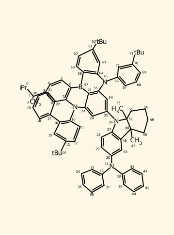 CC(C)C(C)c1ccc2c(c1)N(c1ccc(C(C)(C)C)cc1-c1ccccc1)c1cc(N3c4ccc(N(c5ccccc5)c5ccccc5)cc4C4(C)CCCCC34C)cc3c1B2c1ccc(C(C)(C)C)cc1N3c1cccc(C(C)(C)C)c1